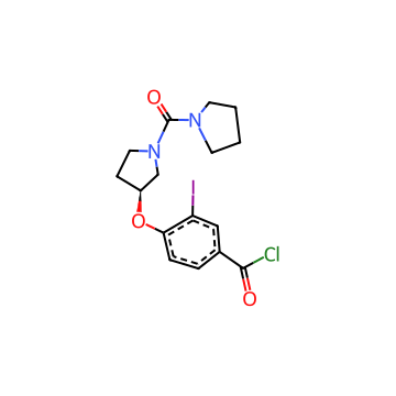 O=C(Cl)c1ccc(O[C@H]2CCN(C(=O)N3CCCC3)C2)c(I)c1